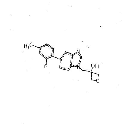 Cc1ccc(-c2ccc3c(c2)ncn3CC2(O)COC2)c(F)c1